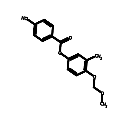 COCOc1ccc(OC(=O)c2ccc(O)cc2)cc1C